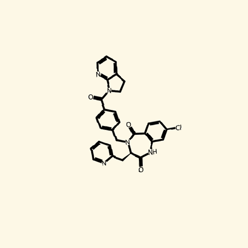 O=C1Nc2cc(Cl)ccc2C(=O)N(Cc2ccc(C(=O)N3CCc4cccnc43)cc2)[C@@H]1Cc1ccccn1